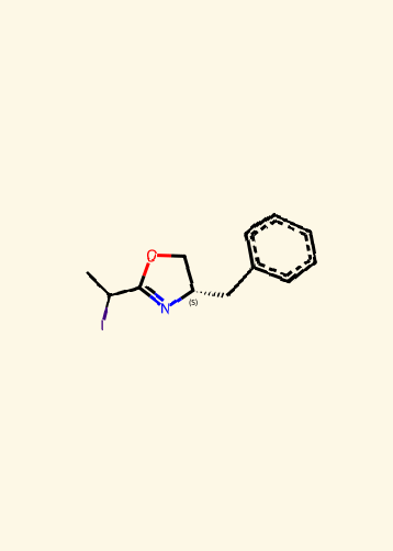 CC(I)C1=N[C@@H](Cc2ccccc2)CO1